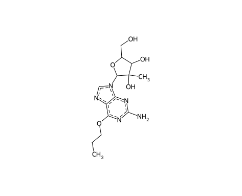 CCCOc1nc(N)nc2c1ncn2C1OC(CO)C(O)C1(C)O